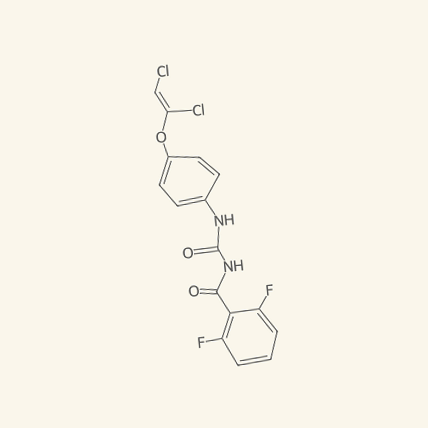 O=C(NC(=O)c1c(F)cccc1F)Nc1ccc(OC(Cl)=CCl)cc1